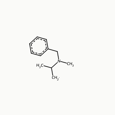 [CH2]C(C)N(C)Cc1ccccc1